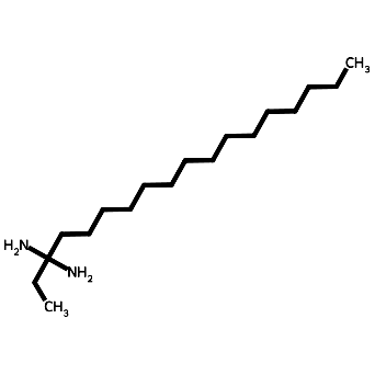 CCCCCCCCCCCCCCCC(N)(N)CC